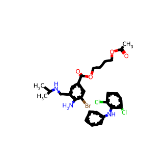 CC(=O)OCCCCOC(=O)c1cc(Br)c(N)c(CNC(C)C)c1.Clc1cccc(Cl)c1Nc1ccccc1